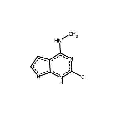 CNc1nc(Cl)[nH]c2nccc1-2